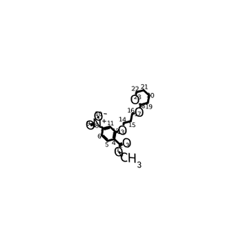 COC(=O)c1ccc([N+](=O)[O-])cc1OCCCOC1CCCCO1